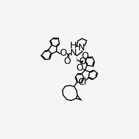 O=C(C[C@H](NC(=O)OCC1c2ccccc2-c2ccccc21)C(=O)N1CCCCC1)OC(c1ccccc1)(c1ccc(C2CCCCCCC3CC3C2)cc1)c1ccccc1Cl